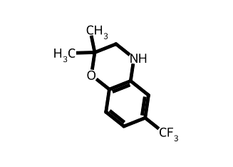 CC1(C)CNc2cc(C(F)(F)F)ccc2O1